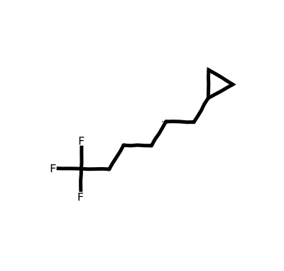 FC(F)(F)CCC[CH]CC1CC1